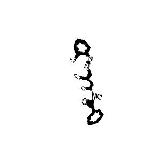 O=C(CN=Nc1ccccc1O)CC(=O)N(Cl)C(=O)c1ccccc1